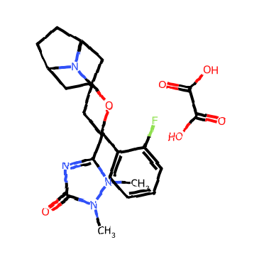 Cn1c(CCCN2C3CCC2CC(OCc2ccccc2F)C3)nc(=O)n1C.O=C(O)C(=O)O